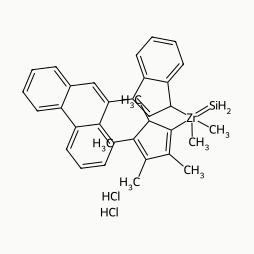 CC1=C(C)C(C)[C]([Zr]([CH3])([CH3])(=[SiH2])[CH]2C=C(c3cc4ccccc4c4ccccc34)c3ccccc32)=C1C.Cl.Cl